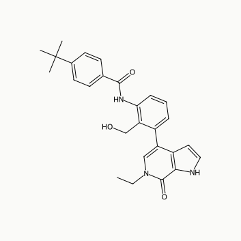 CCn1cc(-c2cccc(NC(=O)c3ccc(C(C)(C)C)cc3)c2CO)c2cc[nH]c2c1=O